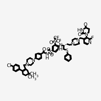 CC1(C)CCC(c2ccc(Cl)cc2)=C(CN2CCN(c3ccc(C(=O)NS(=O)(=O)c4ccc(N[C@H](CCN5CCN(Cc6ccnc(F)c6N6CCC(=O)NC6=O)CC5)CSc5ccccc5)c(S(=O)(=O)C(F)(F)F)c4)cc3)CC2)C1